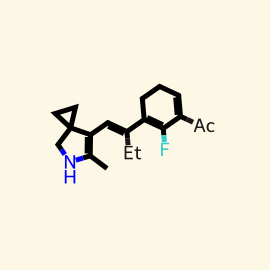 CC/C(=C\C1=C(C)NCC12CC2)C1=C(F)C(C(C)=O)=CCC1